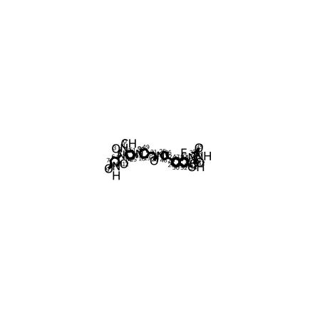 Cn1c(=O)n(C2CCC(=O)NC2=O)c2ccc(N3CCC(CC(=O)N4CC=C(c5ccc6cc(O)c(N7CC(=O)NS7(=O)=O)c(F)c6c5)C4)CC3)cc21